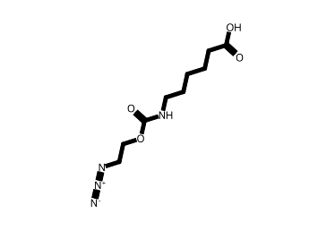 [N-]=[N+]=NCCOC(=O)NCCCCCC(=O)O